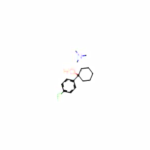 CN(C)C[C@@H]1CCCCC1(O)c1ccc(F)cc1